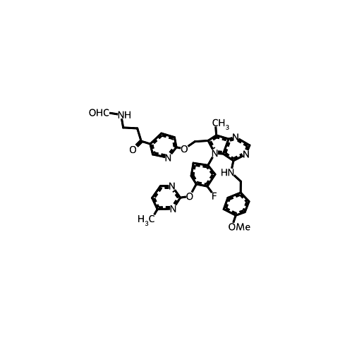 COc1ccc(CNc2ncnc3c(C)c(COc4ccc(C(=O)CCNC=O)cn4)n(-c4ccc(Oc5nccc(C)n5)c(F)c4)c23)cc1